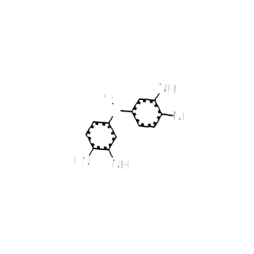 Nc1ccc([S+]([O-])c2ccc(N)c(N)c2)cc1N